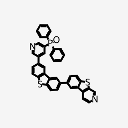 O=P(c1ccccc1)(c1ccccc1)c1cncc(-c2ccc3sc4ccc(-c5ccc6sc7cnccc7c6c5)cc4c3c2)c1